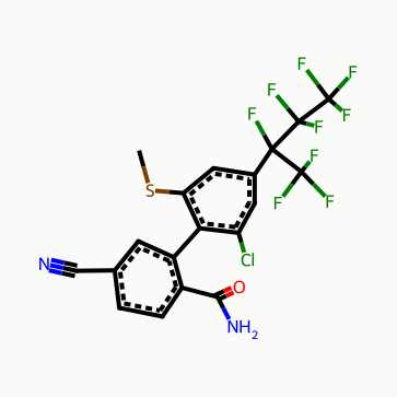 CSc1cc(C(F)(C(F)(F)F)C(F)(F)C(F)(F)F)cc(Cl)c1-c1cc(C#N)ccc1C(N)=O